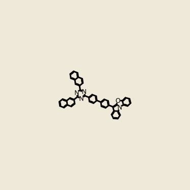 c1ccc2cc(-c3nc(-c4ccc(-c5ccc(-c6c7ccccc7n7c6oc6ccccc67)cc5)cc4)nc(-c4ccc5ccccc5c4)n3)ccc2c1